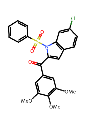 COc1cc(C(=O)c2cc3ccc(Cl)cc3n2S(=O)(=O)c2ccccc2)cc(OC)c1OC